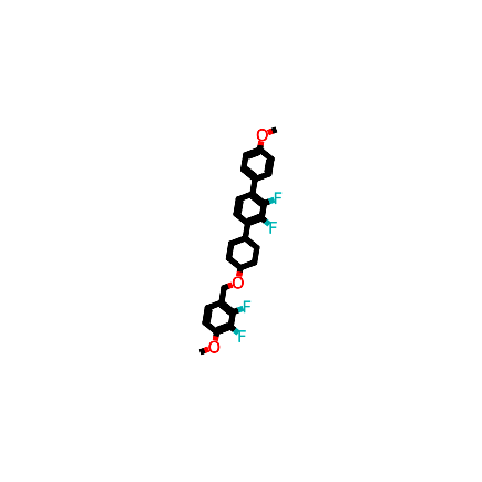 COc1ccc(-c2ccc(C3CCC(OCc4ccc(OC)c(F)c4F)CC3)c(F)c2F)cc1